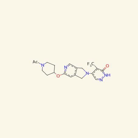 CC(=O)N1CCC(Oc2cc3c(cn2)CN(c2cn[nH]c(=O)c2C(F)(F)F)C3)CC1